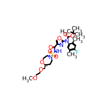 COCCOC[C@@H]1CCN(S(=O)(=O)NC(=O)c2coc(N(C(=O)OC(C)(C)C)c3cc(C)c(F)cc3C)n2)CCO1